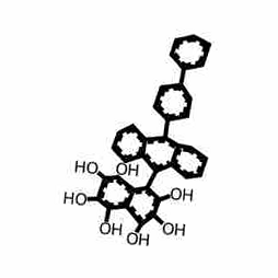 Oc1c(O)c(O)c2c(-c3c4ccccc4c(-c4ccc(-c5ccccc5)cc4)c4ccccc34)c(O)c(O)c(O)c2c1O